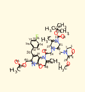 COC[C@@H]1COCCN1C[C@H]1CN(C(=O)OC(C)(C)C)[C@H](C)CN1CC(=O)N1c2cc(Cc3ccc(F)cc3)c(COC(C)=O)nc2OC[C@@H]1C